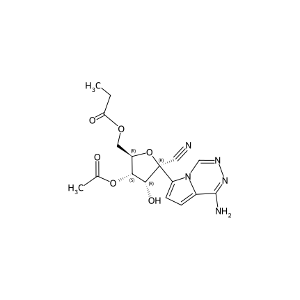 CCC(=O)OC[C@H]1O[C@@](C#N)(c2ccc3c(N)nncn23)[C@H](O)[C@@H]1OC(C)=O